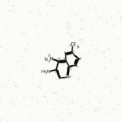 Nc1cnc2ccc(C(F)(F)F)cc2c1N